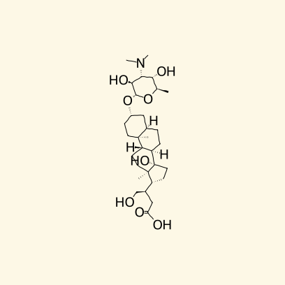 C[C@H]1O[C@H](O[C@H]2CC[C@@]3(C)[C@H](CC[C@@H]4[C@@H]3CC[C@]3(C)[C@@H]([C@H](CO)CC(=O)O)CC[C@]43O)C2)[C@@H](O)[C@H](N(C)C)[C@@H]1O